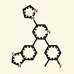 Cc1cc(-c2ncc(-n3cccn3)cc2-c2ccc3ncsc3c2)ccc1F